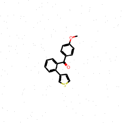 COc1ccc(C(=O)c2ccccc2-c2ccsc2)cc1